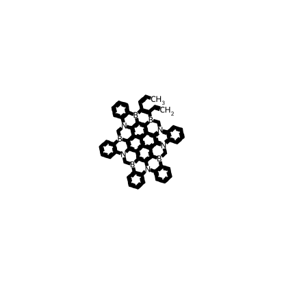 C=CC1=C(/C=C\C)B2c3ccccc3N3CB4c5ccccc5N5CB6c7ccccc7N7c8ccccc8B8Cn9c%10ccccc%10n%10c%11c%12c(c2c3c2c4c5c3c6c7c8c(c3c2%12)c%119)B1C%10